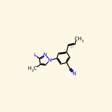 C/C=C/c1cc(C#N)cc(-n2cc(C)c(I)n2)c1